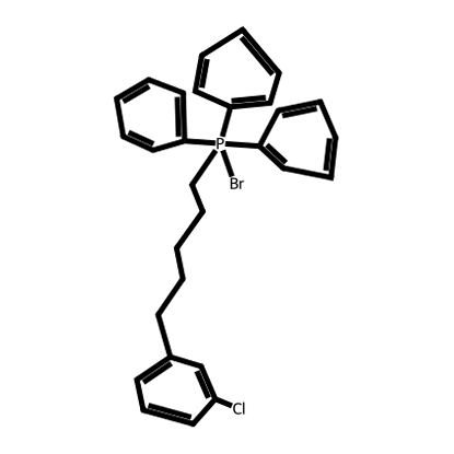 Clc1cccc(CCCCCP(Br)(c2ccccc2)(c2ccccc2)c2ccccc2)c1